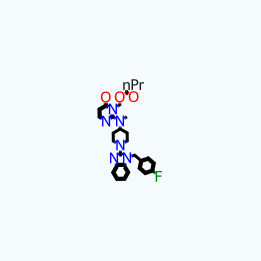 CCCC(=O)OCn1c(N(C)C2CCN(c3nc4ccccc4n3Cc3ccc(F)cc3)CC2)nccc1=O